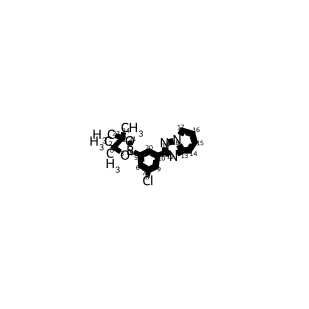 CC1(C)OB(c2cc(Cl)cc(-c3nc4ccccn4n3)c2)OC1(C)C